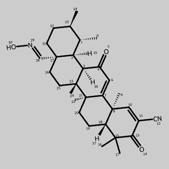 C[C@@H]1[C@H]2[C@H]3C(=O)C=C4[C@@]5(C)C=C(C#N)C(=O)C(C)(C)[C@@H]5CC[C@@]4(C)[C@]3(C)CC[C@@]2(/C=N/O)CC[C@H]1C